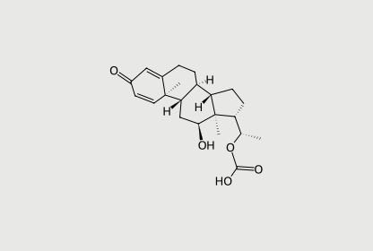 C[C@H](OC(=O)O)[C@H]1CC[C@H]2[C@@H]3CCC4=CC(=O)C=C[C@]4(C)[C@H]3C[C@H](O)[C@]12C